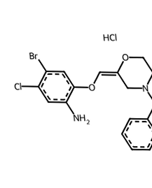 Cl.Nc1cc(Cl)c(Br)cc1OC=C1CN(Cc2ccccc2)CCO1